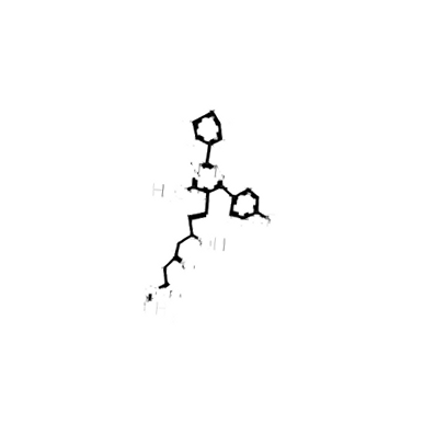 COC(=O)CC(=O)CC(O)/C=C/c1c(C)nc(-c2ccccc2)nc1-c1ccc(F)cc1